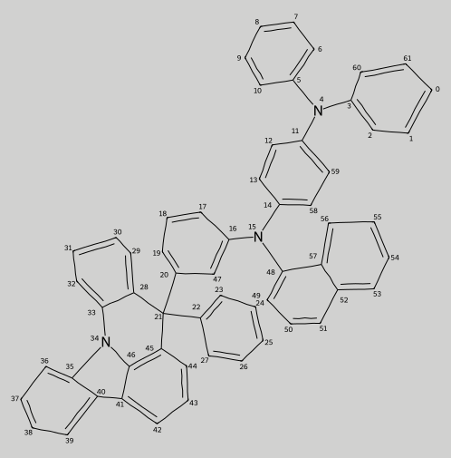 c1ccc(N(c2ccccc2)c2ccc(N(c3cccc(C4(c5ccccc5)c5ccccc5-n5c6ccccc6c6cccc4c65)c3)c3cccc4ccccc34)cc2)cc1